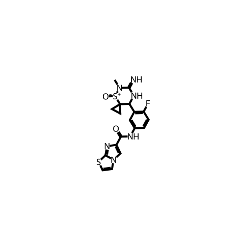 CN1C(=N)NC(c2cc(NC(=O)c3cn4ccsc4n3)ccc2F)C2(CC2)[S+]1[O-]